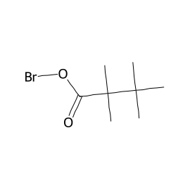 CC(C)(C)C(C)(C)C(=O)OBr